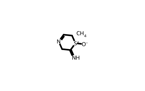 C.N=C1CN=CC[S+]1[O-]